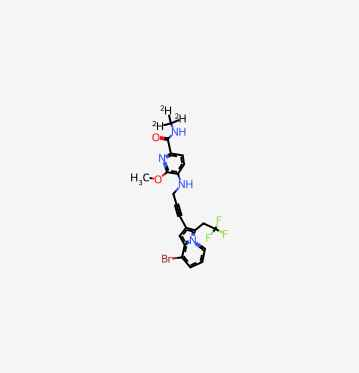 [2H]C([2H])([2H])NC(=O)c1ccc(NCC#Cc2cc3c(Br)cccn3c2CC(F)(F)F)c(OC)n1